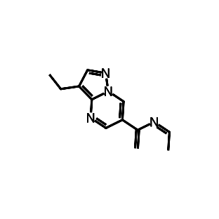 C=C(/N=C\C)c1cnc2c(CC)cnn2c1